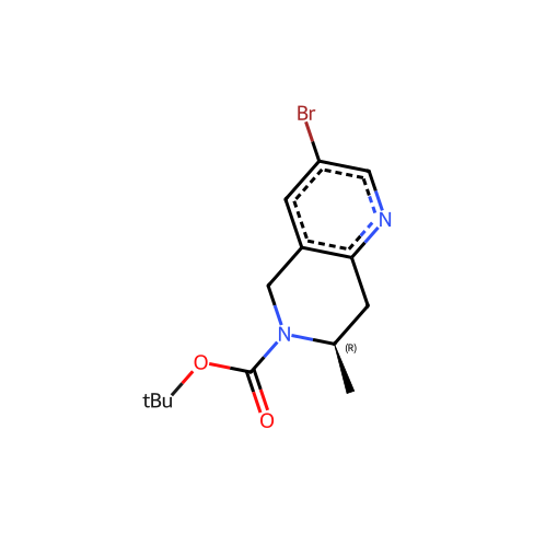 C[C@@H]1Cc2ncc(Br)cc2CN1C(=O)OC(C)(C)C